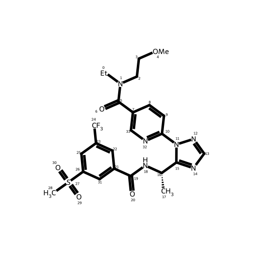 CCN(CCOC)C(=O)c1ccc(-n2ncnc2[C@H](C)NC(=O)c2cc(C(F)(F)F)cc(S(C)(=O)=O)c2)nc1